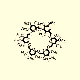 CCS[C@@H]1OC(CO[C@@H]2OC(CO[C@@H]3OC(CO[C@@H]4OC(CO[C@@H]5OC(CO[C@@H]6O[C@H](CC)[C@@H](C)[C@H](OC(C)=O)[C@H]6OC(C)=O)[C@@H](C)[C@H](OC(C)=O)[C@H]5OC(C)=O)[C@@H](C)[C@H](OC(C)=O)[C@H]4OC(C)=O)[C@@H](C)[C@H](OC(C)=O)[C@H]3OC(C)=O)[C@@H](C)[C@H](OC(C)=O)[C@H]2OC(C)=O)[C@@H](C)[C@H](OC(C)=O)[C@H]1OC(C)=O